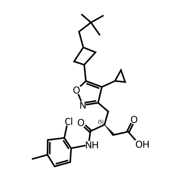 Cc1ccc(NC(=O)[C@H](CC(=O)O)Cc2noc(C3CC(CC(C)(C)C)C3)c2C2CC2)c(Cl)c1